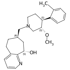 CO[C@@H]1CN(C[C@@H]2CCc3cccnc3[C@@H](O)C2)CC[C@H]1c1ccccc1C